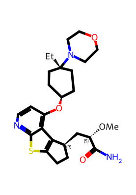 CC[C@]1(N2CCOCC2)CC[C@H](Oc2ccnc3sc4c(c23)[C@@H](C[C@H](OC)C(N)=O)CC4)CC1